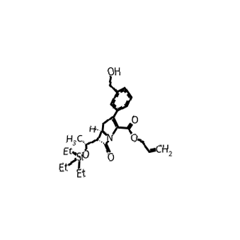 C=CCOC(=O)C1=C(c2cccc(CO)c2)C[C@@H]2[C@@H]([C@@H](C)O[Si](CC)(CC)CC)C(=O)N12